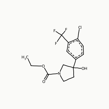 CCOC(=O)N1CCC(O)(c2ccc(Cl)c(C(F)(F)F)c2)C1